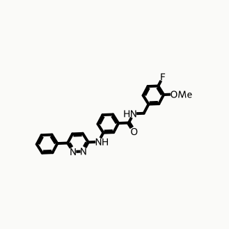 COc1cc(CNC(=O)c2cccc(Nc3ccc(-c4ccccc4)nn3)c2)ccc1F